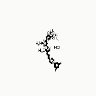 Cc1c(C=CCN2CCN(c3cc(F)cc(F)c3)CC2)cnn1-c1cc(N2C[C@H](O)[C@@H](C(C)(C)O)C2)nc(N)n1.Cl